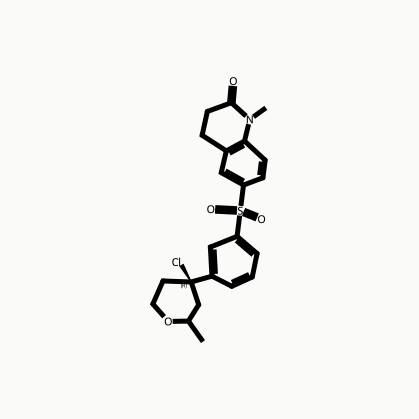 CC1C[C@@](Cl)(c2cccc(S(=O)(=O)c3ccc4c(c3)CCC(=O)N4C)c2)CCO1